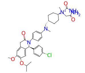 COc1cc2c(cc1OC(C)C)[C@H](c1ccc(Cl)cc1)N(c1ccc(N(C)C[C@H]3CC[C@H]([N+](C)(CC(N)=O)C(N)=O)CC3)cc1)C(=O)C2